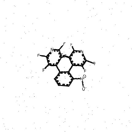 O=[N+]([O-])c1cccc(-c2c(F)c(F)nc(F)c2F)c1-c1c(F)c(F)nc(F)c1F